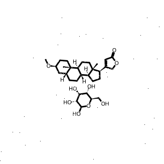 CO[C@H]1CC[C@@]2(C)[C@H](CC[C@@H]3[C@@H]2CC[C@]2(C)[C@@H](C4=CC(=O)OC4)CC[C@@H]32)C1.OC[C@H]1OC(O)[C@H](O)[C@@H](O)[C@@H]1O